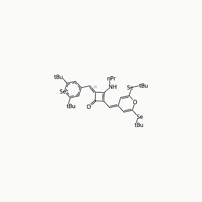 CCCNC1=C(C=C2C=C([Se]C(C)(C)C)OC([Se]C(C)(C)C)=C2)C(=O)/C1=C\c1cc(C(C)(C)C)[se+]c(C(C)(C)C)c1